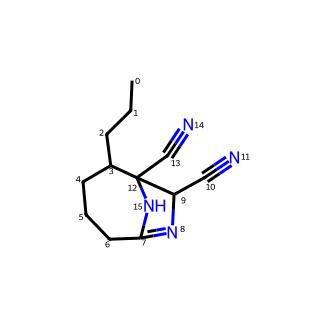 CCCC1CCCC2=NC(C#N)C1(C#N)N2